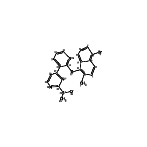 Cc1ccc2c(Br)cccc2c1Oc1ncccc1-c1ccnc([S+](C)[O-])n1